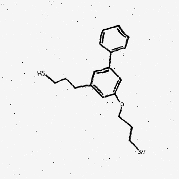 SCCCOc1cc(CCCS)cc(-c2ccccc2)c1